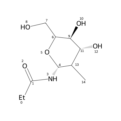 CCC(=O)N[C@@H]1OC(CO)[C@@H](O)[C@H](O)C1C